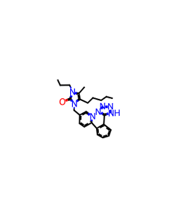 CCCCCc1c(C)n(CCC)c(=O)n1Cc1ccc(-c2ccccc2-c2nnn[nH]2)nc1